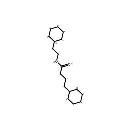 O=C(CCCC1CCCCC1)OCCC1CCCCC1